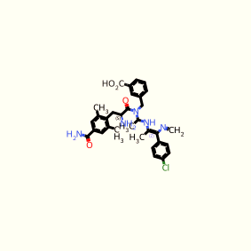 C=N/C(=C(/C)NC(C)N(Cc1cccc(C(=O)O)c1)C(=O)[C@@H](N)Cc1c(C)cc(C(N)=O)cc1C)c1ccc(Cl)cc1